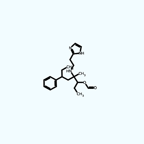 CCC(CC(C)(NCCc1ncc[nH]1)C(CC)OC=O)c1ccccc1